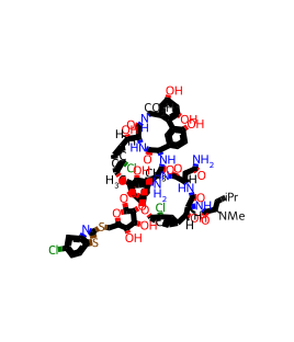 CN[C@@H](CC(C)C)C(=O)N[C@H]1C(=O)N[C@@H](CC(N)=O)C(=O)NC2C(=O)NC3C(=O)N[C@H](C(=O)N[C@@H](C(=O)O)c4cc(O)cc(O)c4-c4cc3ccc4O)[C@H](O)c3ccc(c(Cl)c3)Oc3cc2cc(c3OC2OC(CSc3nc4cc(Cl)ccc4s3)C(O)C(O)C2OC2CC(C)(N)C(O)C(C)O2)Oc2ccc(cc2Cl)[C@H]1O